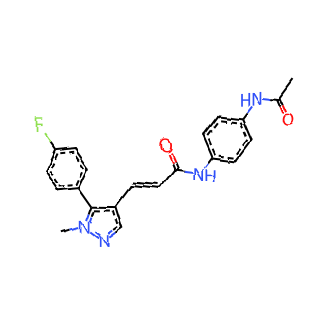 CC(=O)Nc1ccc(NC(=O)/C=C/c2cnn(C)c2-c2ccc(F)cc2)cc1